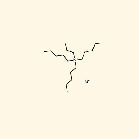 CCCCC[N+](CCC)(CCCCC)CCCCC.[Br-]